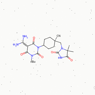 CCCCN1C(=O)C(=C(N)N)C(=O)N(C2CCC(C#N)(CN3C(=O)NC(=O)C3(C)C)CC2)C1=O